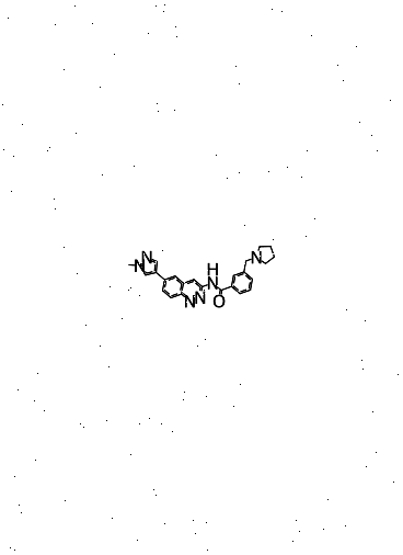 Cn1cc(-c2ccc3nnc(NC(=O)c4cccc(CN5CCCC5)c4)cc3c2)cn1